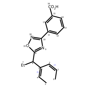 C/C=C\C(=C/C)C(CC)c1nc(-c2cccc(C(=O)O)c2)no1